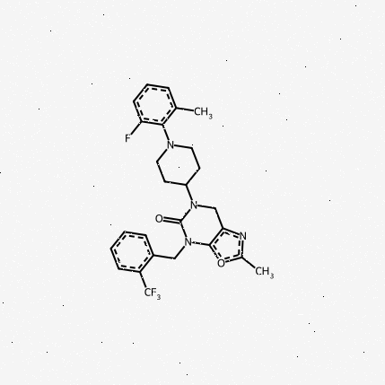 Cc1nc2c(o1)N(Cc1ccccc1C(F)(F)F)C(=O)N(C1CCN(c3c(C)cccc3F)CC1)C2